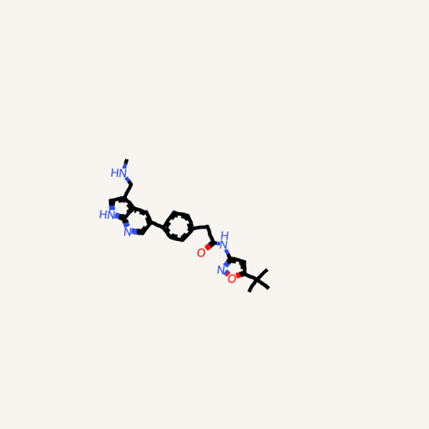 CNCc1c[nH]c2ncc(-c3ccc(CC(=O)Nc4cc(C(C)(C)C)on4)cc3)cc12